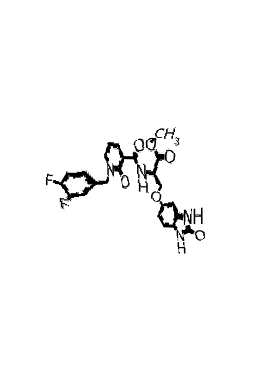 COC(=O)C(COc1ccc2[nH]c(=O)[nH]c2c1)NC(=O)c1cccn(Cc2ccc(F)c(F)c2)c1=O